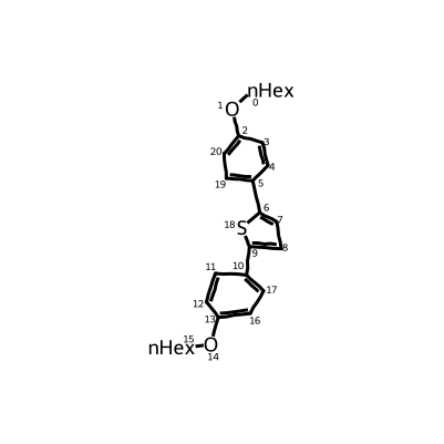 CCCCCCOc1ccc(-c2ccc(-c3ccc(OCCCCCC)cc3)s2)cc1